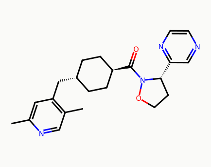 Cc1cc(C[C@H]2CC[C@H](C(=O)N3OCC[C@H]3c3cnccn3)CC2)c(C)cn1